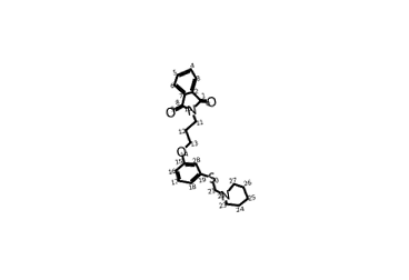 O=C1c2ccccc2C(=O)N1CCCOc1cccc(SCN2CCCCC2)c1